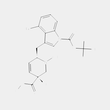 COC(=O)[C@]1(C)C=C[C@@H](Cc2cn(C(=O)OC(C)(C)C)c3cccc(Br)c23)N(C)C1